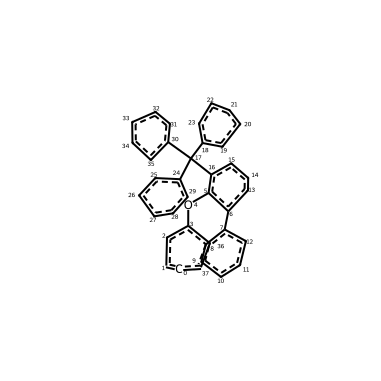 c1ccc(Oc2c(-c3ccccc3)cccc2C(c2ccccc2)(c2ccccc2)c2ccccc2)cc1